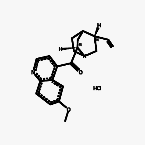 C=C[C@@H]1CN2CCC1C[C@@H]2C(=O)c1ccnc2ccc(OC)cc12.Cl